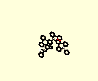 c1ccc(-c2ccccc2N(c2ccc3c(c2)-c2ccccc2N(c2ccccc2)c2ccccc2-3)c2ccc3c(c2)-c2ccccc2-c2ccccc2C32c3ccccc3-c3cc4c(cc32)oc2ccccc24)cc1